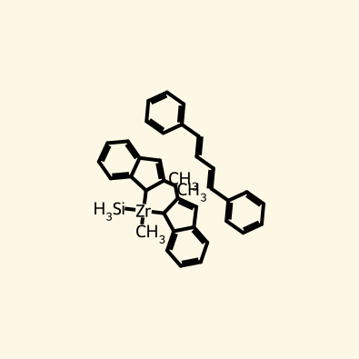 C(C=Cc1ccccc1)=Cc1ccccc1.CC1=Cc2ccccc2[CH]1[Zr]([CH3])([SiH3])[CH]1C(C)=Cc2ccccc21